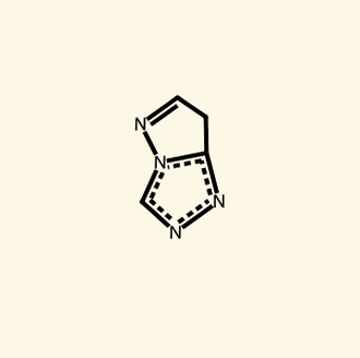 C1=Nn2cnnc2C1